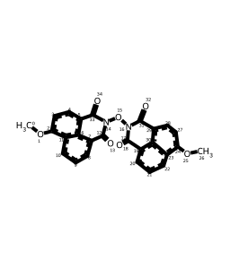 COc1ccc2c3c(cccc13)C(=O)N(ON1C(=O)c3cccc4c(OC)ccc(c34)C1=O)C2=O